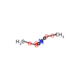 CCCCCCOCCCCC1Oc2ccc(-c3ncc(-c4ccc(OCCCCOCCCC)cc4)cn3)cc2O1